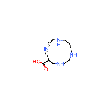 O=C(O)C1CNCCNCCCNCCNC1